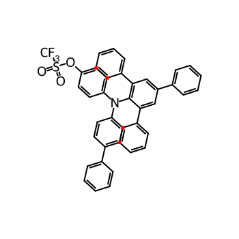 O=S(=O)(Oc1ccc(N(c2ccc(-c3ccccc3)cc2)c2c(-c3ccccc3)cc(-c3ccccc3)cc2-c2ccccc2)cc1)C(F)(F)F